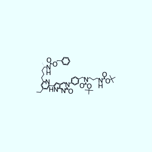 CCc1cc(CCC[C@H](C)NC(=O)OCc2ccccc2)nc(-c2cc3cn(-c4ccc(CN(CCCNC(=O)OC(C)(C)C)C(=O)OC(C)(C)C)cc4)c(=O)nc3[nH]2)c1